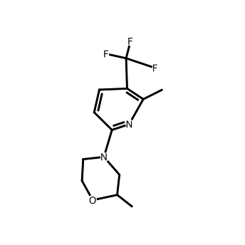 Cc1nc(N2CCOC(C)C2)ccc1C(F)(F)F